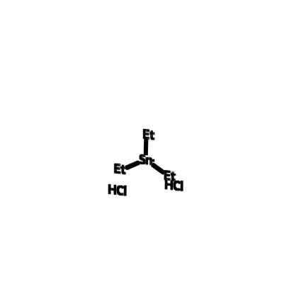 C[CH2][Sn]([CH2]C)[CH2]C.Cl.Cl